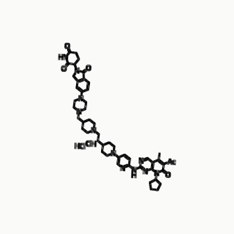 CC(=O)c1c(C)c2cnc(Nc3ccc(N4CCC(CCN5CCC(CN6CCN(c7ccc8c(c7)CN(C7CCC(=O)NC7=O)C8=O)CC6)CC5)CC4)cn3)nc2n(C2CCCC2)c1=O.Cl.Cl